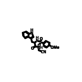 COc1ccc(S(=O)(=O)NC(Cc2c[nH]c3ccccc23)C(=O)NCC#N)cc1